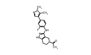 CC(=O)N1CCc2[nH]nc(Nc3ccc(-c4cnn(C)c4C)cc3F)c2C1